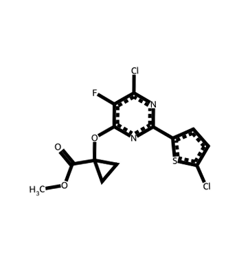 COC(=O)C1(Oc2nc(-c3ccc(Cl)s3)nc(Cl)c2F)CC1